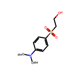 CON(OC)c1ccc(S(=O)(=O)CCO)cc1